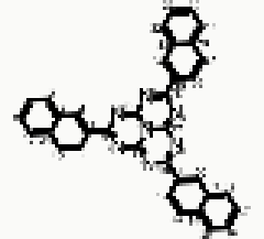 c1ccc2cc(C3=NC4=NC(c5ccc6ccccc6c5)=NC5=NC(c6ccc7ccccc7c6)=NC(=N3)N45)ccc2c1